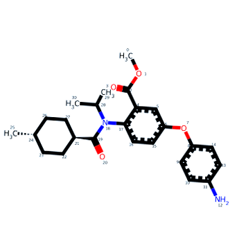 COC(=O)c1cc(Oc2ccc(N)cc2)ccc1N(C(=O)[C@H]1CC[C@H](C)CC1)C(C)C